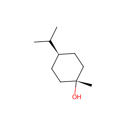 CC(C)[C@H]1CC[C@](C)(O)CC1